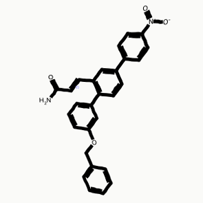 NC(=O)/C=C/c1cc(-c2ccc([N+](=O)[O-])cc2)ccc1-c1cccc(OCc2ccccc2)c1